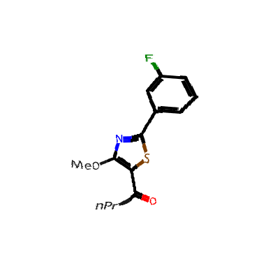 CCCC(=O)c1sc(-c2cccc(F)c2)nc1OC